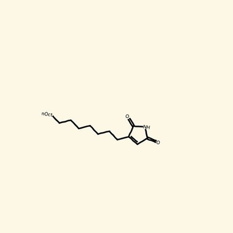 CCCCCCCCCCCCCCCC1=CC(=O)NC1=O